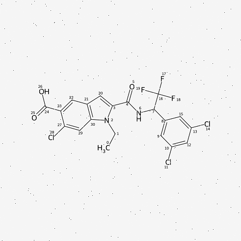 CCn1c(C(=O)NC(c2cc(Cl)cc(Cl)c2)C(F)(F)F)cc2cc(C(=O)O)c(Cl)cc21